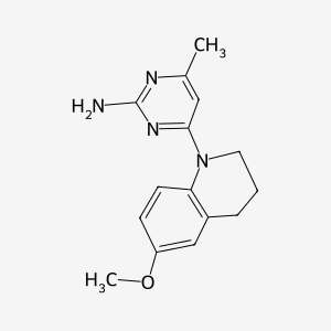 COc1ccc2c(c1)CCCN2c1cc(C)nc(N)n1